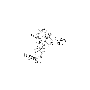 CC(C)C[C@@H]1NCCN([C@@H](CC(C)C)C(=O)N2CCC3(CCC(N(C)C)C3)CC2)C1=O